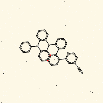 N#Cc1ccnc(-c2ccccc2-c2ccccc2N2c3ccccc3N(c3ccccc3)c3ccccc32)c1